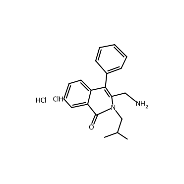 CC(C)Cn1c(CN)c(-c2ccccc2)c2ccccc2c1=O.Cl.Cl